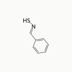 S/N=C/c1ccccc1